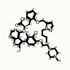 CCCCn1nccc1COc1ccccc1C[C@@H](Oc1ncnc2sc(I)c(-c3ccc(OCCN4CCN(C)CC4)c(Cl)c3C)c12)C(=O)O